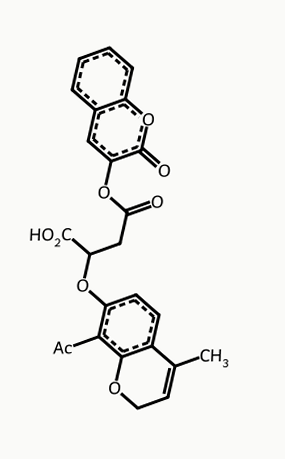 CC(=O)c1c(OC(CC(=O)Oc2cc3ccccc3oc2=O)C(=O)O)ccc2c1OCC=C2C